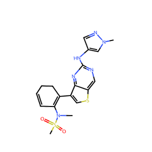 CN(C1=C(c2csc3cnc(Nc4cnn(C)c4)nc23)CCC=C1)S(C)(=O)=O